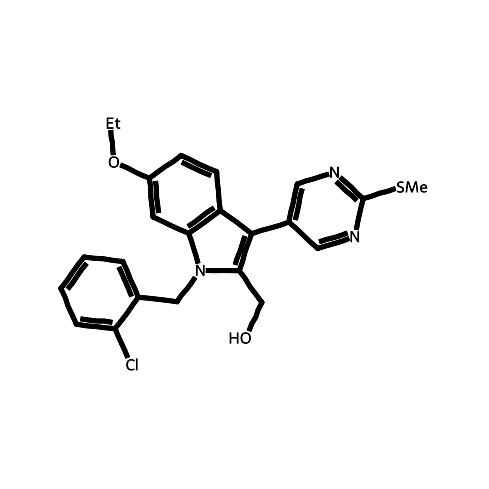 CCOc1ccc2c(-c3cnc(SC)nc3)c(CO)n(Cc3ccccc3Cl)c2c1